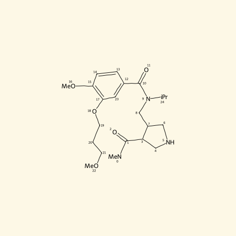 CNC(=O)C1CNCC1CN(C(=O)c1ccc(OC)c(OCCCOC)c1)C(C)C